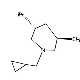 CC(C)[C@@H]1C[C@@H](C)CN(CC2CC2)C1